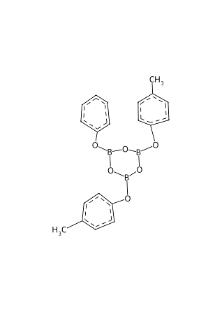 Cc1ccc(OB2OB(Oc3ccccc3)OB(Oc3ccc(C)cc3)O2)cc1